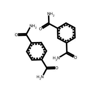 NC(=O)c1ccc(C(N)=O)cc1.NC(=O)c1cccc(C(N)=O)c1